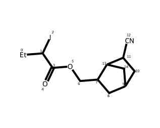 CCC(I)C(=O)OCC1CC2CC(C#N)C1C2